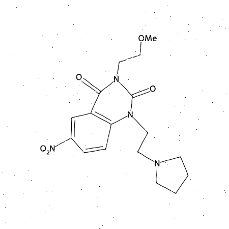 COCCn1c(=O)c2cc([N+](=O)[O-])ccc2n(CCN2CCCC2)c1=O